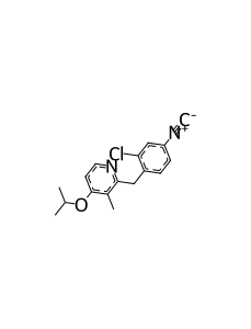 [C-]#[N+]c1ccc(Cc2nccc(OC(C)C)c2C)c(Cl)c1